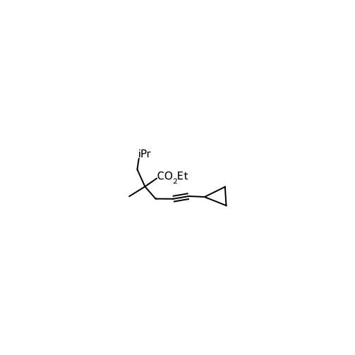 CCOC(=O)C(C)(CC#CC1CC1)CC(C)C